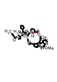 CC#CC(=O)N1CC[C@H](C(=O)N(C)C(C(=O)N[C@H]2Cc3nc(cs3)-c3ccc4c(c3)c(c(-c3cccnc3[C@H](C)OC)n4CC)CC(C)(C)COC(=O)[C@@H]3CCCN(N3)C2=O)C2CCCC2)C1